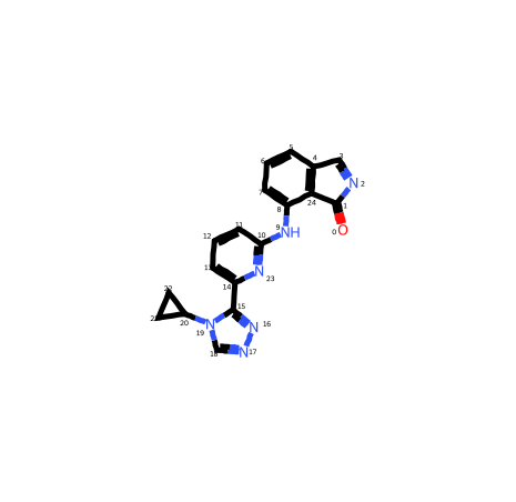 O=C1N=Cc2cccc(Nc3cccc(-c4nncn4C4CC4)n3)c21